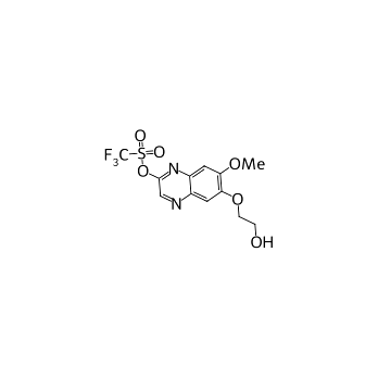 COc1cc2nc(OS(=O)(=O)C(F)(F)F)cnc2cc1OCCO